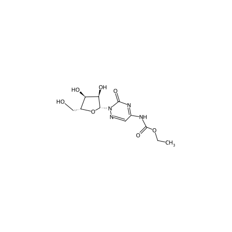 CCOC(=O)Nc1cnn([C@@H]2O[C@H](CO)[C@@H](O)[C@H]2O)c(=O)n1